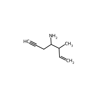 C#CCC(N)C(C)C=C